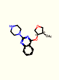 CC(=O)O[C@@H]1COC[C@@H]1Oc1nc(N2CCNCC2)nc2ccccc12